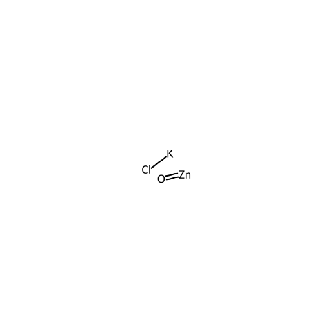 [Cl][K].[O]=[Zn]